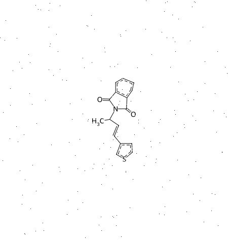 CC(C=Cc1ccsc1)N1C(=O)c2ccccc2C1=O